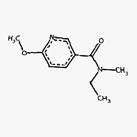 CCN(C)C(=O)c1ccc(OC)nc1